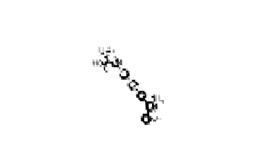 CC(C)C(C(=O)O)c1cc(N2CCC(N3CCN(c4ccc(-c5cc(-c6ccccc6O)nnc5N)cc4)CC3)CC2)no1